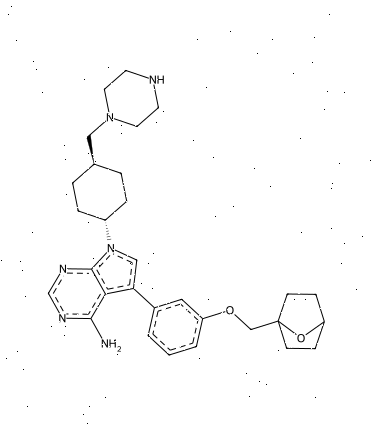 Nc1ncnc2c1c(-c1cccc(OCC34CCC(CC3)O4)c1)cn2[C@H]1CC[C@H](CN2CCNCC2)CC1